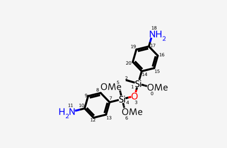 CO[Si](C)(O[Si](OC)(OC)c1ccc(N)cc1)c1ccc(N)cc1